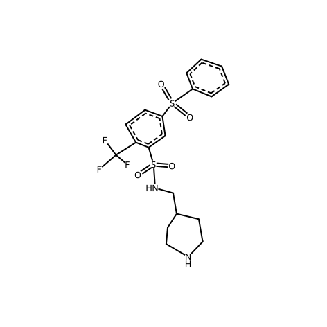 O=S(=O)(NCC1CCNCC1)c1cc(S(=O)(=O)c2ccccc2)ccc1C(F)(F)F